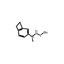 C[C@H](NSC(C)(C)C)c1ccc2c(c1)CC2